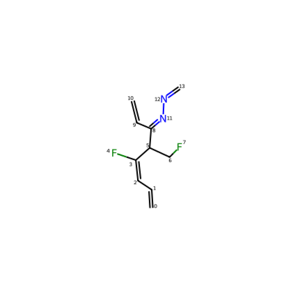 C=C/C=C(/F)C(CF)/C(C=C)=N/N=C